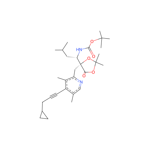 Cc1cnc(C[C@]2([C@H](CC(C)C)NC(=O)OC(C)(C)C)OC(C)(C)OC2=O)c(C)c1C#CCC1CC1